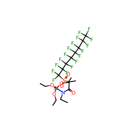 CCO[Si](OCC)(OCC)N(CC)C(=O)C(C)S(=O)(=O)C(F)(F)C(F)(F)C(F)(F)C(F)(F)C(F)(F)C(F)(F)C(F)(F)C(F)(F)F